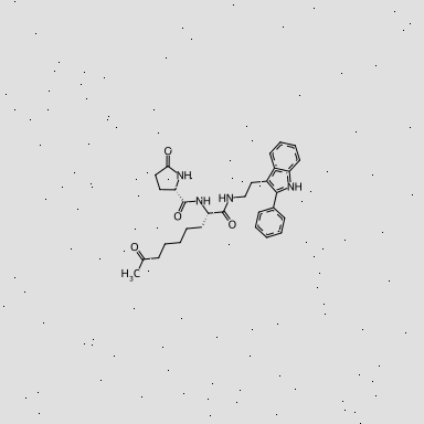 CC(=O)CCCCC[C@H](NC(=O)[C@@H]1CCC(=O)N1)C(=O)NCCc1c(-c2ccccc2)[nH]c2ccccc12